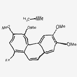 CCc1cc(OC)c(OC)c2c1ccc1cc(OC)c(OC)cc12.CNC